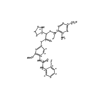 COc1cc(CC(=O)C(CN(C)c2ccc(C(=O)O)cc2N)C2CCCN2)ccc1NC(=O)Nc1ccccc1F